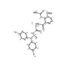 CCCCC(=O)Oc1c(OC)ccnc1C(=O)N[C@@H](C)C(=O)O[C@@H](C)C(c1ccc(F)cc1)c1ccc(F)cc1